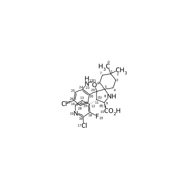 CC1(C)CCC2(CC1)N[C@@H](C(=O)O)[C@H](c1ccnc(Cl)c1F)C21OCNc2cc(Cl)ccc21